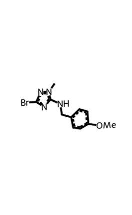 COc1ccc(CNc2nc(Br)nn2C)cc1